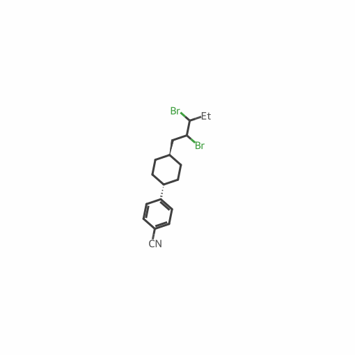 CCC(Br)C(Br)C[C@H]1CC[C@H](c2ccc(C#N)cc2)CC1